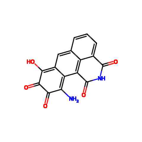 NC1=c2c3c4c(cccc4cc2=C(O)C(=O)C1=O)C(=O)NC3=O